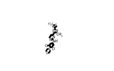 Cc1nc(-c2nc(C)c(-c3ccnc(Nc4cc(Cl)c(N5CCOCC5)c(Cl)c4)n3)s2)cs1